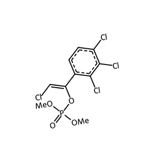 COP(=O)(OC)OC(=CCl)c1ccc(Cl)c(Cl)c1Cl